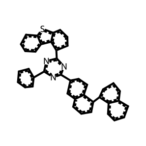 c1ccc(-c2nc(-c3ccc4c(-c5cccc6ccccc56)cccc4c3)nc(-c3cccc4sc5ccccc5c34)n2)cc1